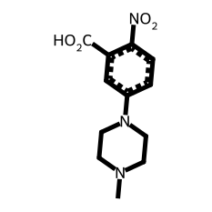 CN1CCN(c2ccc([N+](=O)[O-])c(C(=O)O)c2)CC1